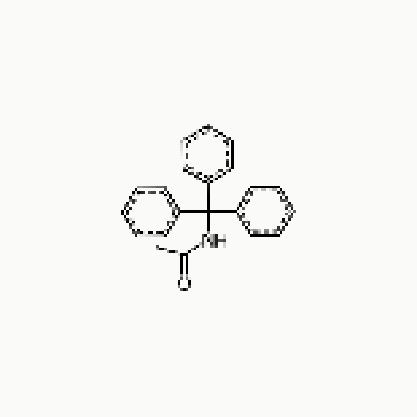 CC(=O)NC(c1ccccc1)(c1ccccc1)c1ccccc1